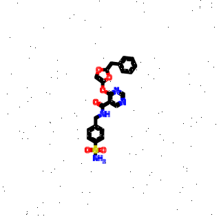 NS(=O)(=O)c1ccc(CNC(=O)c2cncnc2OC2=COC(Cc3ccccc3)O2)cc1